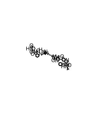 COc1cc2ncc(C(=O)NC3CC3)c(Nc3ccccc3)c2cc1-c1ccc(C(=O)NCCCCn2cc(CNc3cccc4c3C(=O)N(C3CCC(=O)NC3=O)C4=O)nn2)nc1